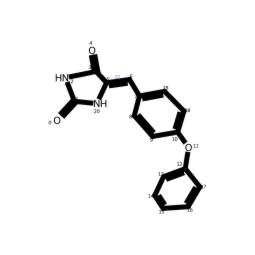 O=C1NC(=O)/C(=C/c2ccc(Oc3ccccc3)cc2)N1